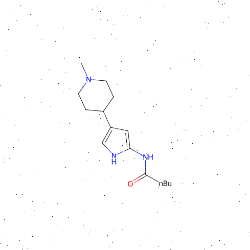 CCCCC(=O)Nc1cc(C2CCN(C)CC2)c[nH]1